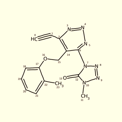 C#Cc1nnnc(-n2nnn(C)c2=O)c1COc1ccccc1C